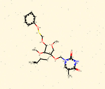 C=CCC[C@](COCCCC)(OCn1cc(C)c(=O)[nH]c1=O)C(COCSOc1ccccc1)OCCCC